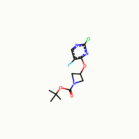 CC(C)(C)OC(=O)N1CC(Oc2nc(Cl)ncc2F)C1